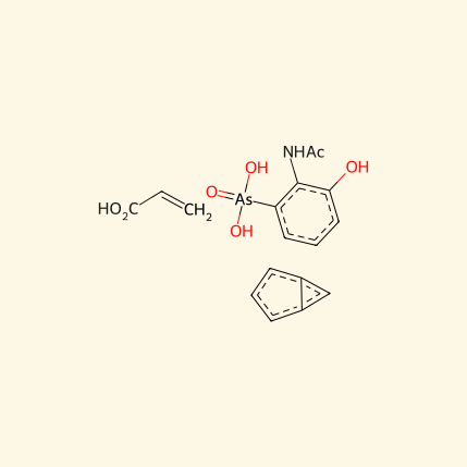 C=CC(=O)O.CC(=O)Nc1c(O)cccc1[As](=O)(O)O.c1cc2cc-2c1